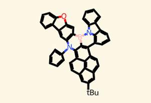 CC(C)(C)c1cc2ccc3c4c5c(c6ccc(c1)c2c36)N(c1ccccc1)c1cc2c(cc1B5n1c3ccccc3c3cccc-4c31)oc1ccccc12